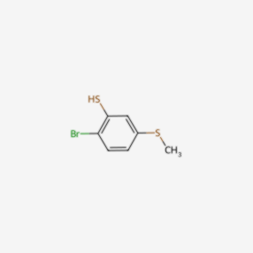 CSc1ccc(Br)c(S)c1